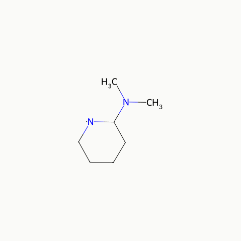 CN(C)C1CCCC[N]1